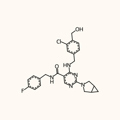 O=C(NCc1ccc(F)cc1)c1cnc(N2CC3CC3C2)nc1NCc1ccc(CO)c(Cl)c1